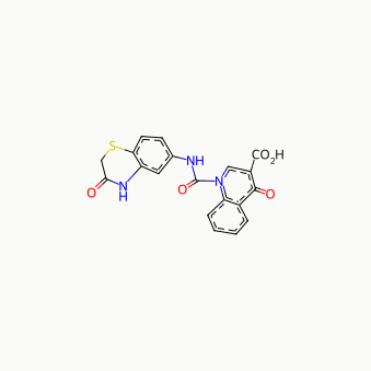 O=C1CSc2ccc(NC(=O)n3cc(C(=O)O)c(=O)c4ccccc43)cc2N1